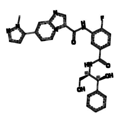 Cn1nccc1-c1ccn2c(C(=O)Nc3cc(C(=O)N[C@H](CO)[C@@H](O)c4ccccc4)ccc3F)cnc2c1